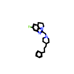 Fc1cc2c3c(c1)nc(CN1CCC(CCCc4ccccc4)CC1)n3CCC2